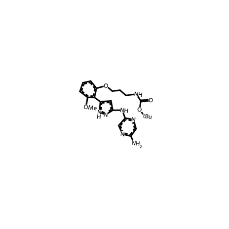 COc1cccc(OCCCNC(=O)OC(C)(C)C)c1-c1cc(Nc2cnc(N)cn2)n[nH]1